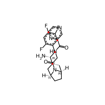 N[C@H](Cc1cc(F)c(F)cc1F)[C@@H]1C[C@H]2CC[C@@H](C1)N2C(=O)CNC(=O)c1cnccn1